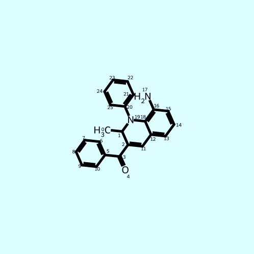 CC1C(C(=O)c2ccccc2)=Cc2cccc(N)c2N1c1ccccc1